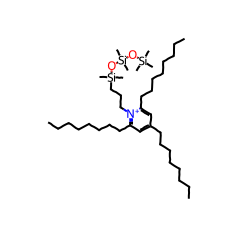 CCCCCCCCc1cc(CCCCCCCC)[n+](CCC[Si](C)(C)O[Si](C)(C)O[Si](C)(C)C)c(CCCCCCCC)c1